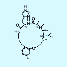 C[C@@H]1C(=O)N[C@H](Cc2c[nH]cn2)C(=O)NCCCc2ccc(F)cc2OCCN[C@@H](C2CC2)C(=O)N1C